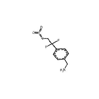 NCc1ccc(C(F)(F)CN=S(=O)=O)cc1